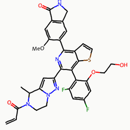 C=CC(=O)N1CCn2nc(-c3nc(-c4cc5c(cc4OC)C(=O)NC5)c4ccsc4c3-c3c(F)cc(F)cc3OCCO)cc2C1C